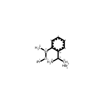 Br.CC(C)[O][Sn]([CH3])[c]1ccccc1C(C)N